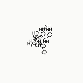 CC(C)C(NC(=O)C(CCc1ccccc1)NC(=O)OCc1ccccc1)P(=O)(O)OC(C(=O)O)c1cccc(NC(=N)N)c1